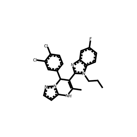 CCCn1c(C2=C(C)Nc3ccnn3C2c2ccc(Cl)c(Cl)c2)nc2cc(F)ccc21